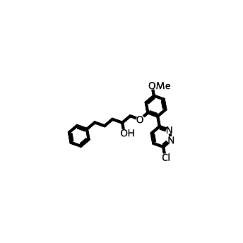 COc1ccc(-c2ccc(Cl)nn2)c(OCC(O)CCCc2ccccc2)c1